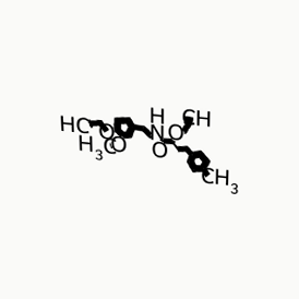 C#CCOc1ccc(CCNC(=O)[C@H](CCc2ccc(C)cc2)OCC#C)cc1OC